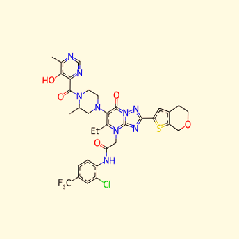 CCc1c(N2CCN(C(=O)c3ncnc(C)c3O)C(C)C2)c(=O)n2nc(-c3cc4c(s3)COCC4)nc2n1CC(=O)Nc1ccc(C(F)(F)F)cc1Cl